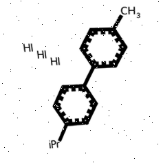 Cc1ccc(-c2ccc(C(C)C)cc2)cc1.I.I.I